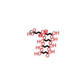 O=C(O)CCC(=O)O.O=C(O)CCC(=O)O.O=C(O)CCC(=O)O.O=C(O)CCC(=O)O.O=C(O)CCC(=O)O.[Cu]